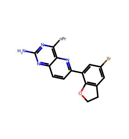 CCCc1nc(N)nc2ccc(-c3cc(Br)cc4c3OCC4)nc12